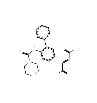 N=C(Nc1ccccc1-c1ccccc1)N1CCOCC1.O=C(O)/C=C/C(=O)O